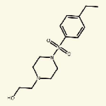 CCc1ccc(S(=O)(=O)N2CCN(CCO)CC2)cc1